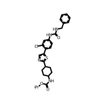 CC(C)OC(=O)NC1CCC(c2ncc(-c3ccc(NC(=O)NCc4ccccc4)cc3Cl)s2)CC1